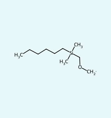 [CH2]OC[Si](C)(C)CCCCCC